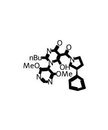 CCCCc1nc(=O)c(C(=O)N2CC[C@@H](c3ccccc3)C2)c(O)n1-c1c(OC)ncnc1OC